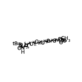 CC(C)(C)OC(=O)NC1CC(COCCOCCOCCOCCOCCOS(C)(=O)=O)C1